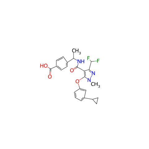 CC(NC(=O)c1c(C(F)F)nn(C)c1Oc1cccc(C2CC2)c1)c1ccc(C(=O)O)cc1